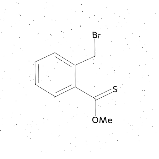 COC(=S)c1ccccc1CBr